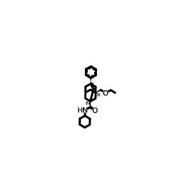 CCOC[C@]12CC3C[C@@](C(=O)NC4CCCCC4)(C1)C[C@@](c1ccccc1)(C3)C2